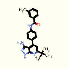 Cc1cccc(C(=O)Nc2ccc(-c3cc(C(C)(C)C)nc4[nH]nc(N)c34)cc2)c1